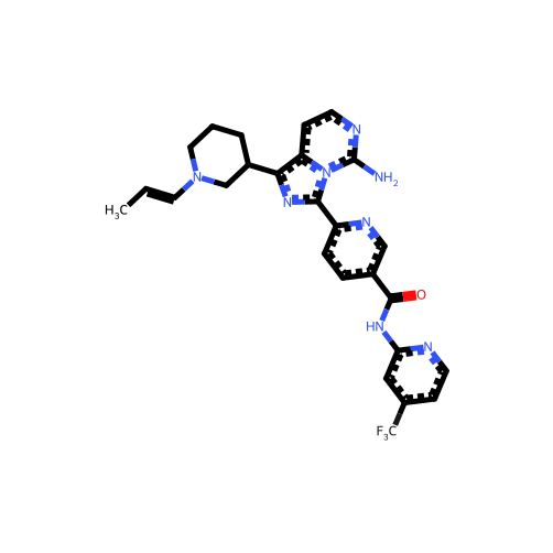 CC=CN1CCCC(c2nc(-c3ccc(C(=O)Nc4cc(C(F)(F)F)ccn4)cn3)n3c(N)nccc23)C1